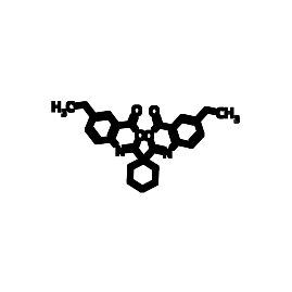 CCc1ccc2nc(C3(c4nc5ccc(CC)cc5c(=O)o4)CCCCC3)oc(=O)c2c1